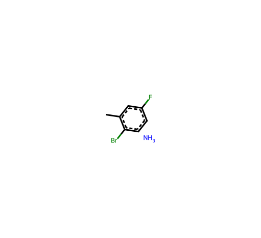 Cc1cc(F)ccc1Br.N